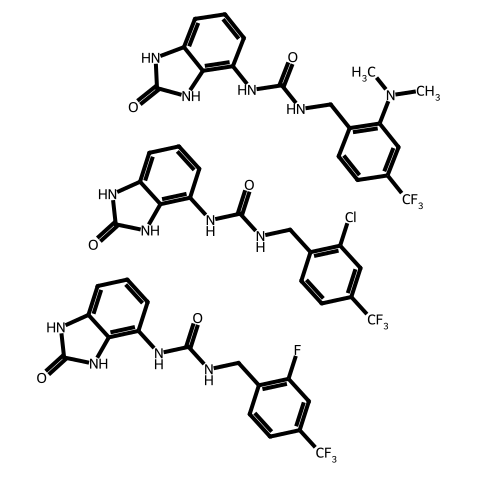 CN(C)c1cc(C(F)(F)F)ccc1CNC(=O)Nc1cccc2[nH]c(=O)[nH]c12.O=C(NCc1ccc(C(F)(F)F)cc1Cl)Nc1cccc2[nH]c(=O)[nH]c12.O=C(NCc1ccc(C(F)(F)F)cc1F)Nc1cccc2[nH]c(=O)[nH]c12